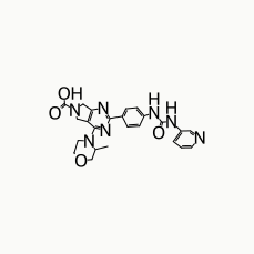 CC1COCCN1c1nc(-c2ccc(NC(=O)Nc3cccnc3)cc2)nc2c1CN(C(=O)O)C2